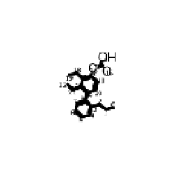 CCCc1ccccc1-c1ccc(OC(=O)O)c(CC)c1CC